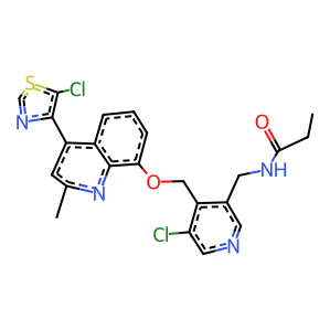 CCC(=O)NCc1cncc(Cl)c1COc1cccc2c(-c3ncsc3Cl)cc(C)nc12